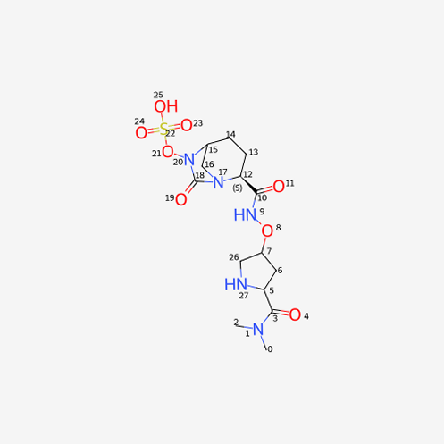 CN(C)C(=O)C1CC(ONC(=O)[C@@H]2CCC3CN2C(=O)N3OS(=O)(=O)O)CN1